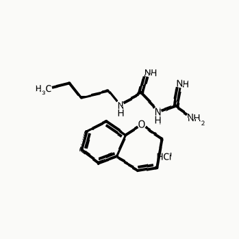 C1=Cc2ccccc2OC1.CCCCNC(=N)NC(=N)N.Cl